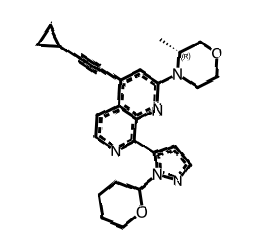 C[C@@H]1COCCN1c1cc(C#CC2CC2)c2ccnc(-c3ccnn3C3CCCCO3)c2n1